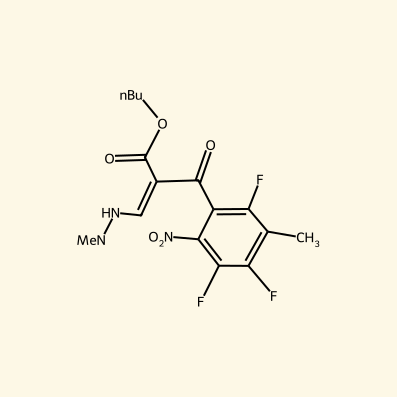 CCCCOC(=O)C(=CNNC)C(=O)c1c(F)c(C)c(F)c(F)c1[N+](=O)[O-]